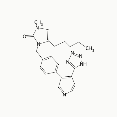 CCCCCc1cn(C)c(=O)n1Cc1ccc(-c2cnccc2-c2nnn[nH]2)cc1